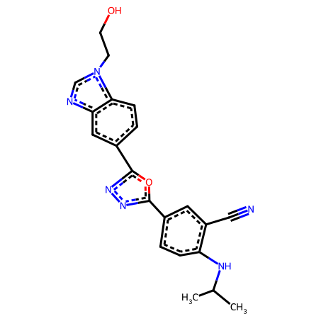 CC(C)Nc1ccc(-c2nnc(-c3ccc4c(c3)ncn4CCO)o2)cc1C#N